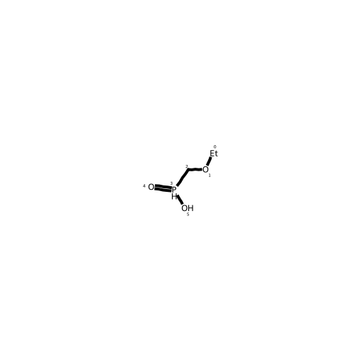 CCOC[PH](=O)O